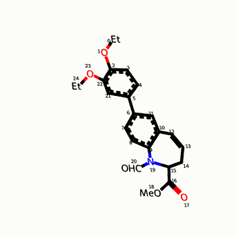 CCOc1ccc(-c2ccc3c(c2)C=CCC(C(=O)OC)N3C=O)cc1OCC